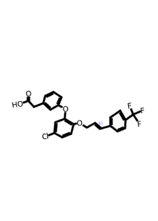 O=C(O)Cc1cccc(Oc2cc(Cl)ccc2OC/C=C/c2ccc(C(F)(F)F)cc2)c1